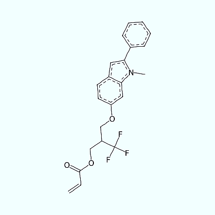 C=CC(=O)OCC(COc1ccc2cc(-c3ccccc3)n(C)c2c1)C(F)(F)F